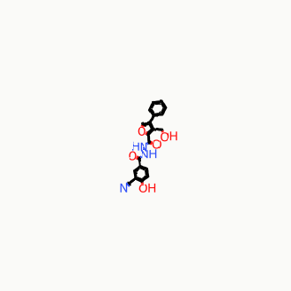 N#Cc1cc(C(=O)NNC(=O)c2occ(-c3ccccc3)c2CO)ccc1O